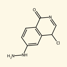 NNc1ccc2c(c1)C(Cl)C=NC2=O